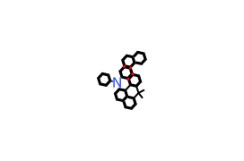 CC1(C)c2ccc(-c3cccc4ccccc34)cc2-c2c(N(c3ccccc3)c3ccccc3)ccc3cccc1c23